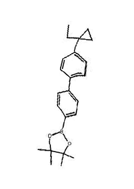 CCC1(c2ccc(-c3ccc(B4OC(C)(C)C(C)(C)O4)cc3)cc2)CC1